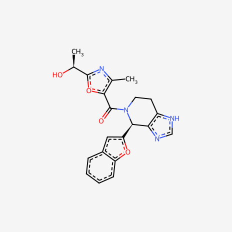 Cc1nc([C@H](C)O)oc1C(=O)N1CCc2[nH]cnc2[C@H]1c1cc2ccccc2o1